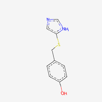 Oc1ccc(CSc2cnc[nH]2)cc1